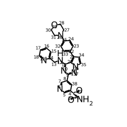 NS(=O)(=O)c1cncc(-c2nc(NCc3ccccn3)c3c(-c4ccc(N5CCOCC5)cc4)ccn3n2)c1